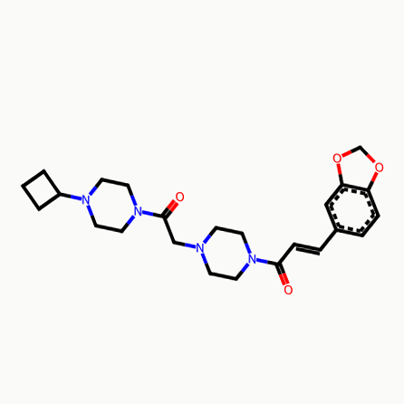 O=C(C=Cc1ccc2c(c1)OCO2)N1CCN(CC(=O)N2CCN(C3CCC3)CC2)CC1